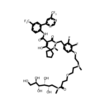 CN(CCOCCC(=O)N(C)C[C@H](O)[C@@H](O)[C@H](O)[C@H](O)CO)CCOc1ccc(CN2C(=O)C(C(=O)Nc3ccc(C(F)(F)F)cc3-c3cc(C(F)(F)F)ncn3)=C(O)C3(CCCC3)N2C)c(F)c1F